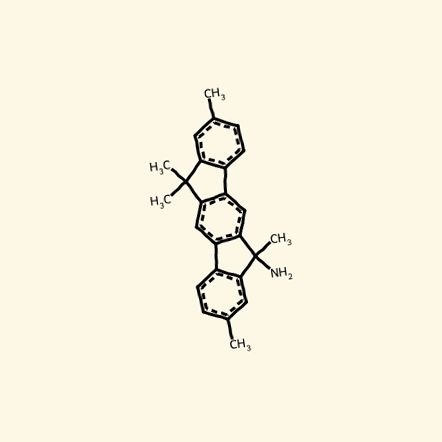 Cc1ccc2c(c1)C(C)(C)c1cc3c(cc1-2)C(C)(N)c1cc(C)ccc1-3